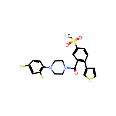 CS(=O)(=O)c1ccc(-c2ccsc2)c(C(=O)N2CCN(c3ccc(F)cc3F)CC2)c1